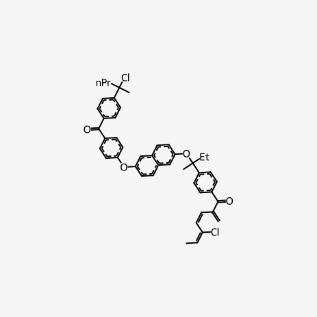 C=C(/C=C\C(Cl)=C/C)C(=O)c1ccc(C(C)(CC)Oc2ccc3cc(Oc4ccc(C(=O)c5ccc(C(C)(Cl)CCC)cc5)cc4)ccc3c2)cc1